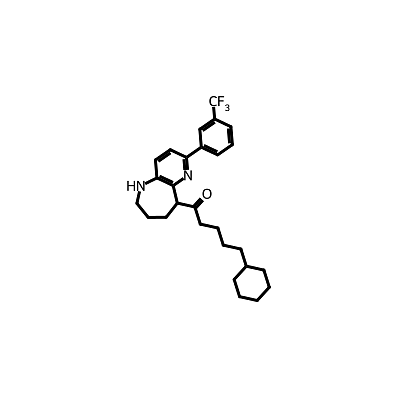 O=C(CCCCC1CCCCC1)C1CCCNc2ccc(-c3cccc(C(F)(F)F)c3)nc21